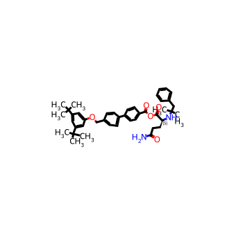 CC(C)(Cc1ccccc1)N[C@@H](CCC(N)=O)C(=O)OC(=O)c1ccc(-c2ccc(COc3cc(C(C)(C)C)cc(C(C)(C)C)c3)cc2)cc1